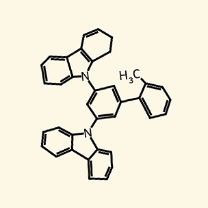 Cc1ccccc1-c1cc(-n2c3c(c4ccccc42)C=CCC3)cc(-n2c3ccccc3c3ccccc32)c1